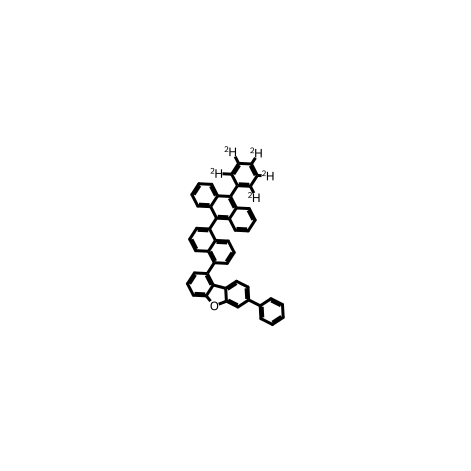 [2H]c1c([2H])c([2H])c(-c2c3ccccc3c(-c3cccc4c(-c5cccc6oc7cc(-c8ccccc8)ccc7c56)cccc34)c3ccccc23)c([2H])c1[2H]